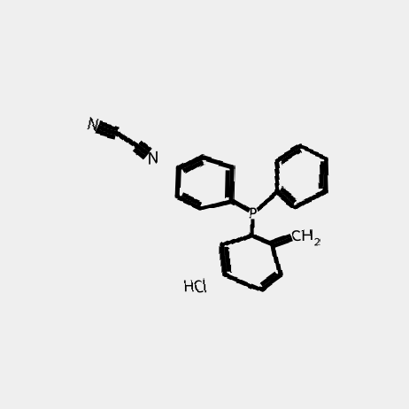 C=C1C=CC=CC1P(c1ccccc1)c1ccccc1.Cl.N#CC#N